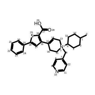 CC1CCC([N+]2(Cc3ccncc3)CC=C(c3cc(-c4ccccc4)sc3C(=O)O)CC2)CC1